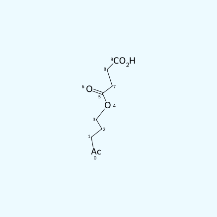 CC(=O)CCCOC(=O)CCC(=O)O